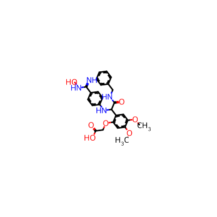 COc1cc(OCC(=O)O)c(C(Nc2ccc(C(=N)NO)cc2)C(=O)NCc2ccccc2)cc1OC